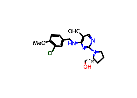 COc1ccc(CNc2nc(N3CCC[C@@H]3CO)ncc2C=O)cc1Cl